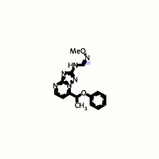 CO/N=C\Nc1nc2nccc(C(C)Oc3ccccc3)n2n1